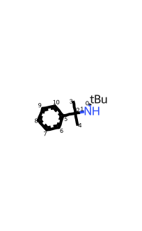 CC(C)(C)NC(C)(C)c1ccccc1